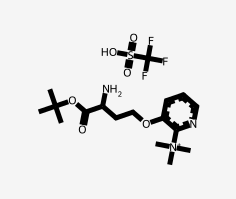 CC(C)(C)OC(=O)C(N)CCOc1cccnc1[N+](C)(C)C.O=S(=O)(O)C(F)(F)F